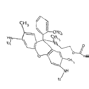 CCCC(=O)OCCN(C)C1(c2ccccc2C=O)c2cc(C)c(NCC)cc2Oc2cc(NCC)c(C)cc21